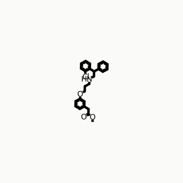 COC(=O)Cc1cccc(OCCCNCC(c2ccccc2)c2ccccc2Cl)c1